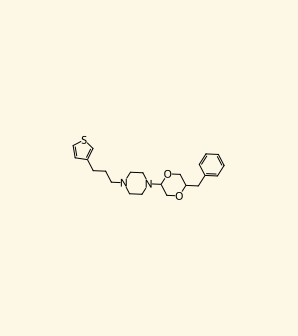 c1ccc(CC2COC(N3CCN(CCCc4ccsc4)CC3)CO2)cc1